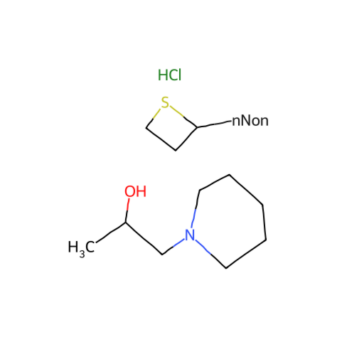 CC(O)CN1CCCCC1.CCCCCCCCCC1CCS1.Cl